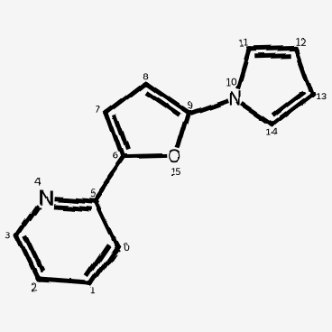 [c]1cccnc1-c1ccc(-n2cccc2)o1